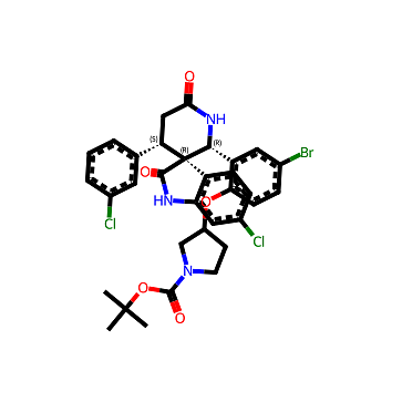 CC(C)(C)OC(=O)N1CCC(Oc2ccc(Br)cc2[C@H]2NC(=O)C[C@@H](c3cccc(Cl)c3)[C@]23C(=O)Nc2cc(Cl)ccc23)C1